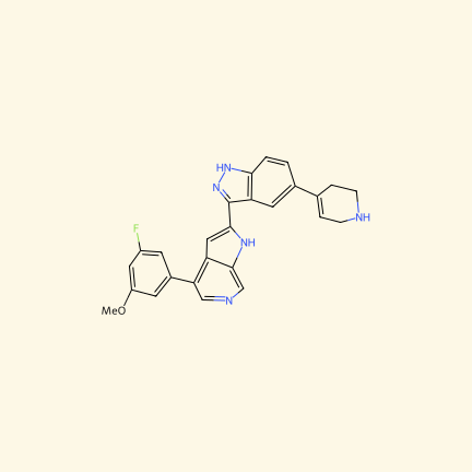 COc1cc(F)cc(-c2cncc3[nH]c(-c4n[nH]c5ccc(C6=CCNCC6)cc45)cc23)c1